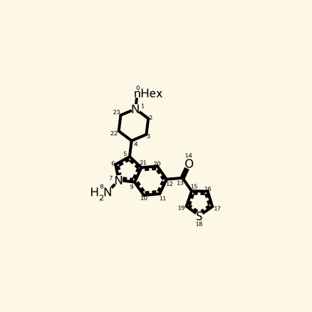 CCCCCCN1CCC(c2cn(N)c3ccc(C(=O)c4ccsc4)cc23)CC1